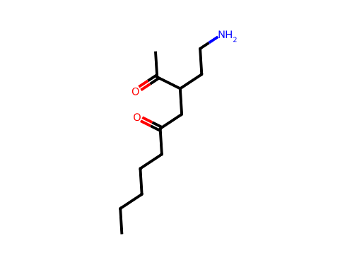 CCCCCC(=O)CC(CCN)C(C)=O